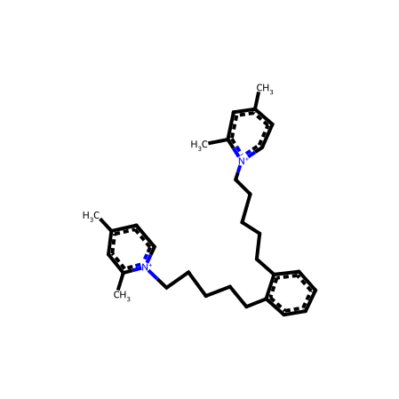 Cc1cc[n+](CCCCCc2ccccc2CCCCC[n+]2ccc(C)cc2C)c(C)c1